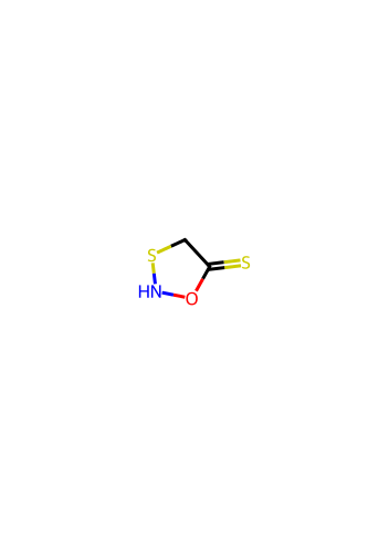 S=C1CSNO1